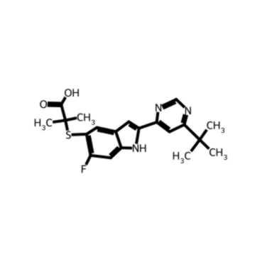 CC(C)(Sc1cc2cc(-c3cc(C(C)(C)C)ncn3)[nH]c2cc1F)C(=O)O